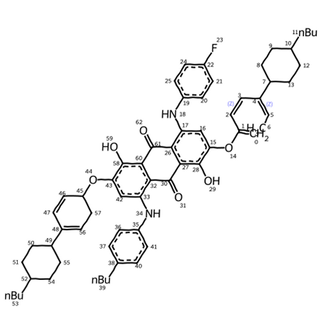 C=C(/C=C\C(=C/C)C1CCC(CCCC)CC1)Oc1cc(Nc2ccc(F)cc2)c2c(c1O)C(=O)c1c(Nc3ccc(CCCC)cc3)cc(OC3C=CC(C4CCC(CCCC)CC4)=CC3)c(O)c1C2=O